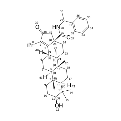 CC(C)C1=C2[C@H]3CC[C@@H]4[C@@]5(C)CC[C@H](O)C(C)(C)[C@@H]5CC[C@@]4(C)[C@]3(C)CC[C@@]2(C(=O)NC(C)c2ccccc2)CC1=O